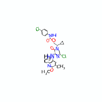 COc1nc(C)c(Nc2nc(Cl)cn(C(COC(=O)Nc3ccc(Cl)cc3)C3CC3)c2=O)cc1C